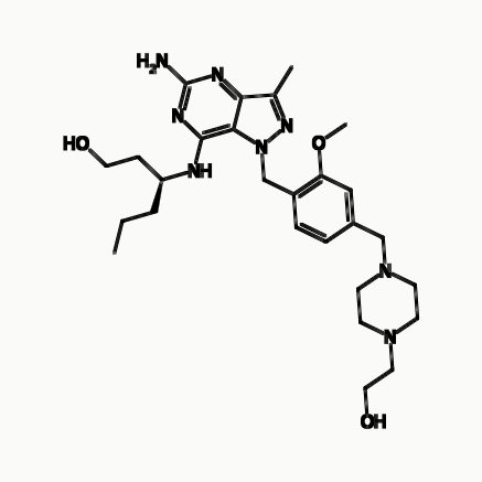 CCC[C@@H](CCO)Nc1nc(N)nc2c(C)nn(Cc3ccc(CN4CCN(CCO)CC4)cc3OC)c12